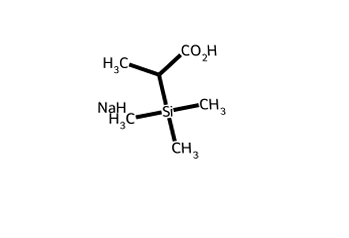 CC(C(=O)O)[Si](C)(C)C.[NaH]